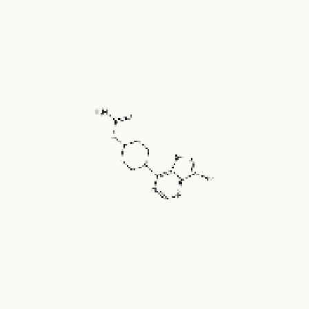 NC(=O)OC1CCN(c2ncnc3c(Br)csc23)CC1